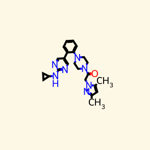 Cc1cc(C)n(CC(=O)N2CCN(c3ccccc3-c3cnc(NC4CC4)nc3)CC2)n1